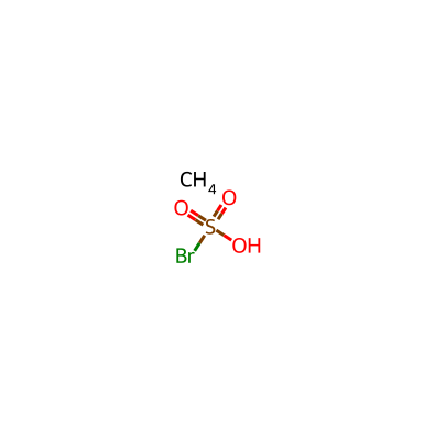 C.O=S(=O)(O)Br